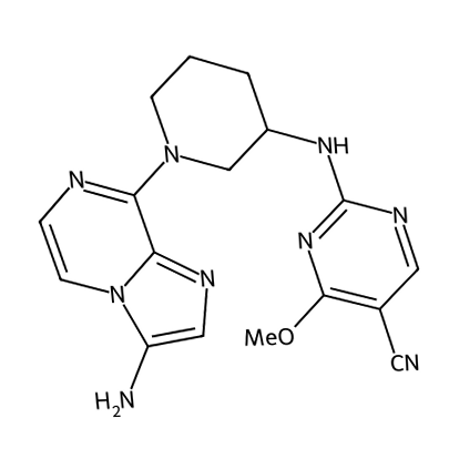 COc1nc(NC2CCCN(c3nccn4c(N)cnc34)C2)ncc1C#N